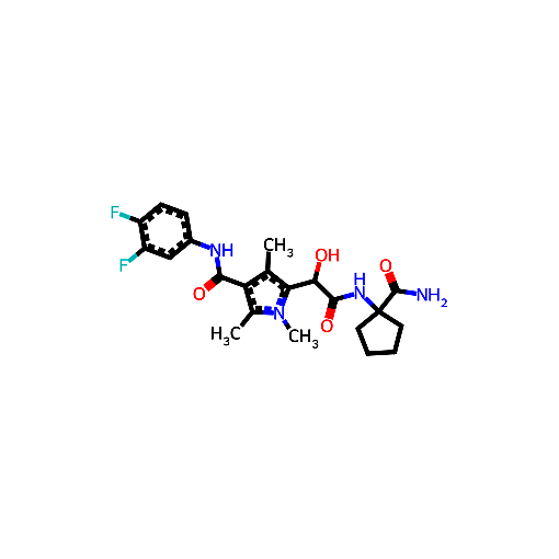 Cc1c(C(=O)Nc2ccc(F)c(F)c2)c(C)n(C)c1C(O)C(=O)NC1(C(N)=O)CCCC1